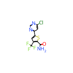 NC(=O)c1sc(-c2cc(Cl)ncn2)cc1C(F)(F)F